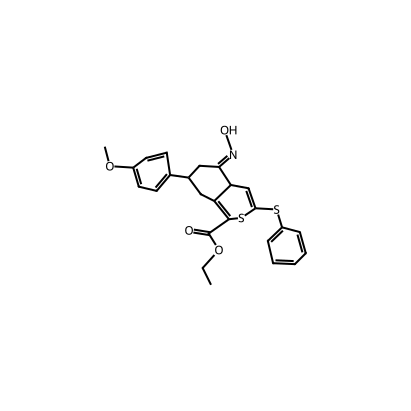 CCOC(=O)C1=C2CC(c3ccc(OC)cc3)C/C(=N\O)C2C=C(Sc2ccccc2)S1